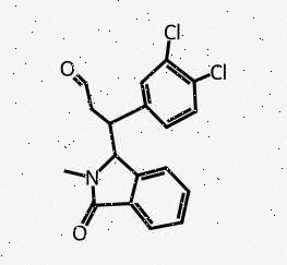 CN1C(=O)c2ccccc2C1C(CC=O)c1ccc(Cl)c(Cl)c1